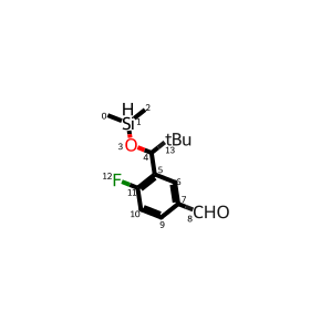 C[SiH](C)OC(c1cc(C=O)ccc1F)C(C)(C)C